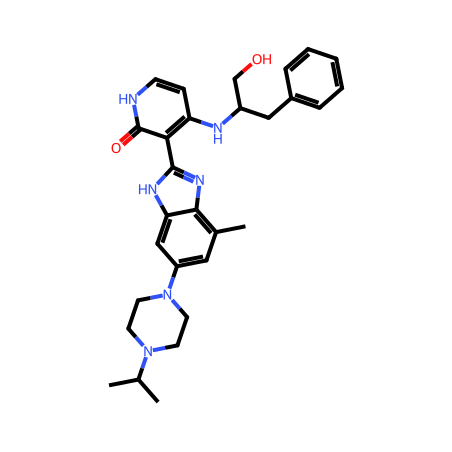 Cc1cc(N2CCN(C(C)C)CC2)cc2[nH]c(-c3c(NC(CO)Cc4ccccc4)cc[nH]c3=O)nc12